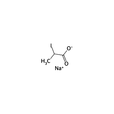 CC(I)C(=O)[O-].[Na+]